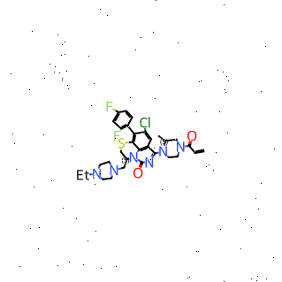 C=CC(=O)N1CCN(c2nc(=O)n3c4c(c(-c5ccc(F)cc5F)c(Cl)cc24)SC[C@@H]3CN2CCN(CC)CC2)[C@@H](C)C1